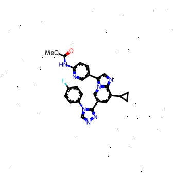 COC(=O)Nc1ccc(-c2cnc3c(C4CC4)cc(-c4nncn4-c4ccc(F)cc4)cn23)cn1